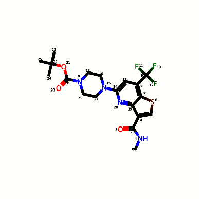 CNC(=O)c1csc2c(C(F)(F)F)cc(N3CCN(C(=O)OC(C)(C)C)CC3)nc12